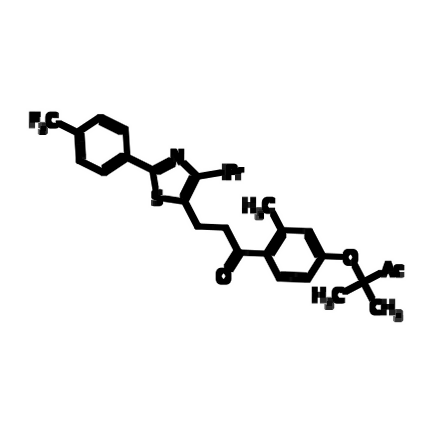 CC(=O)C(C)(C)Oc1ccc(C(=O)CCc2sc(-c3ccc(C(F)(F)F)cc3)nc2C(C)C)c(C)c1